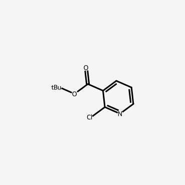 CC(C)(C)OC(=O)c1cccnc1Cl